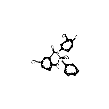 O=C1c2cc(Cl)ccc2OP(=O)(c2ccccc2)N1c1ccc(Cl)c(Cl)c1